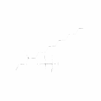 C=COC(=O)C(CCCCCCCCCC)OC(F)(F)C(F)(F)F